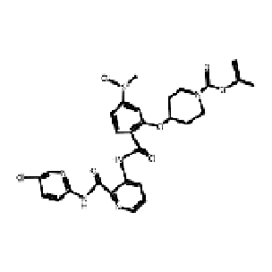 C=C(C)OC(=O)N1CCC(Oc2cc([S+](C)[O-])ccc2C(=O)Nc2cccnc2C(=O)Nc2ccc(Cl)cn2)CC1